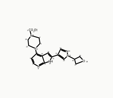 CCOC(=O)N1CCN(c2ccnc3[nH]c(-c4cnn(C5COC5)c4)cc23)CC1